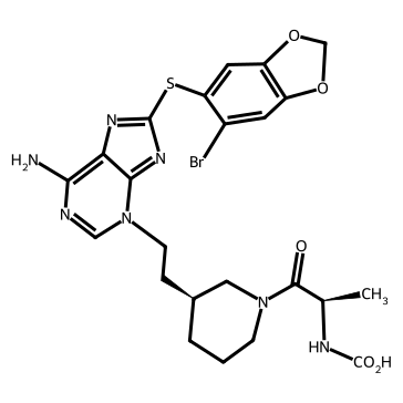 C[C@@H](NC(=O)O)C(=O)N1CCC[C@@H](CCn2cnc(N)c3nc(Sc4cc5c(cc4Br)OCO5)nc2-3)C1